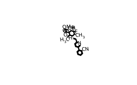 COC(=O)C(O)[C@@]12CC(F)(F)[C@@H](C)[C@H](C=Cc3ccc(-c4ccccc4C#N)cn3)[C@@H]1[C@@H](C)OC2=O